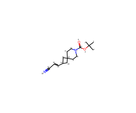 CC(C)(C)OC(=O)N1CCC2(CC1)CC(C=CC#N)C2